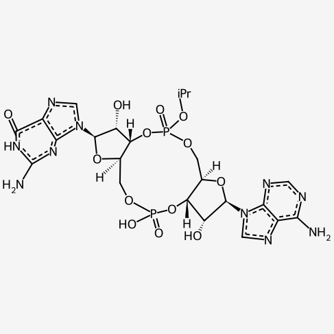 CC(C)OP1(=O)OC[C@H]2O[C@@H](n3cnc4c(N)ncnc43)[C@H](O)[C@@H]2OP(=O)(O)OC[C@H]2O[C@@H](n3cnc4c(=O)[nH]c(N)nc43)[C@H](O)[C@@H]2O1